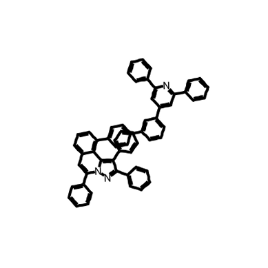 c1ccc(-c2cc(-c3cccc(-c4ccc(-c5cccc6cc(-c7ccccc7)n7nc(-c8ccccc8)c(-c8ccccc8)c7c56)cc4)c3)cc(-c3ccccc3)n2)cc1